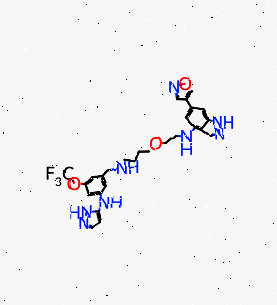 FC(F)(F)Oc1cc(CNCCCCOCCNc2cc(-c3cnoc3)cc3[nH]ncc23)cc(Nc2ccn[nH]2)c1